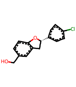 OCc1ccc2c(c1)C[C@@H](c1ccc(Cl)cc1)O2